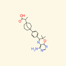 CC(C(=O)O)C12CCCC(c3ccc(C4=Nc5c(N)ncnc5OC4(C)C)cc3)(CC1)CC2